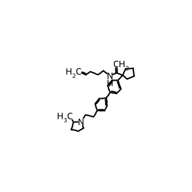 C=CCCCNC(=C)C1(c2ccc(-c3ccc(CCN4CCCC4C)cc3)cc2)CCCC1